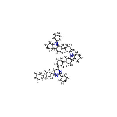 c1ccc(-c2ccc(-c3cc(-c4cccc(-c5ccc6c7ccccc7n(-c7cccc(-c8ccc9c%10ccccc%10n(-c%10ccccc%10)c9c8)c7)c6c5)c4)nc(-c4ccccc4)n3)cc2)cc1